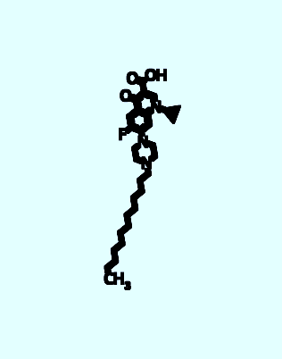 CCCCCCCCCCCCCN1CCN(c2cc3c(cc2F)c(=O)c(C(=O)O)cn3C2CC2)CC1